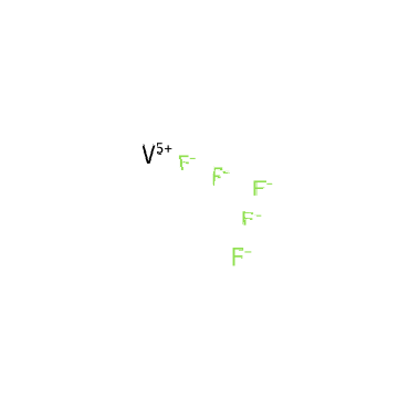 [F-].[F-].[F-].[F-].[F-].[V+5]